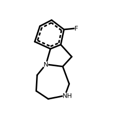 Fc1cccc2c1CC1CNCCCN21